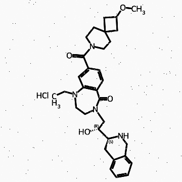 CCN1CCN(C[C@@H](O)[C@@H]2Cc3ccccc3CN2)C(=O)c2ccc(C(=O)N3CCC4(CC3)CC(OC)C4)cc21.Cl